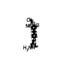 Cc1nc(N)cc(COc2ccc(C(C)(C)c3cc(Cl)c(OCCCl)c(C#N)c3)cc2)n1